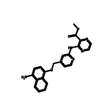 COC(=O)c1nccnc1Nc1cc(COc2ccc(N)c3ccccc23)ccn1